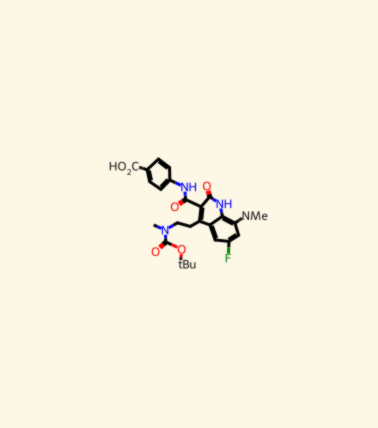 CNc1cc(F)cc2c(CCN(C)C(=O)OC(C)(C)C)c(C(=O)Nc3ccc(C(=O)O)cc3)c(=O)[nH]c12